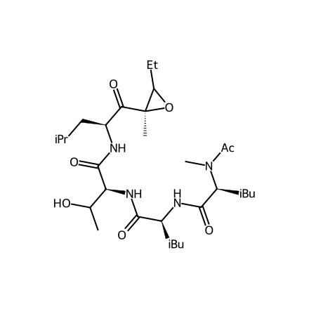 CCC(C)[C@H](NC(=O)[C@H](C(C)CC)N(C)C(C)=O)C(=O)N[C@H](C(=O)N[C@@H](CC(C)C)C(=O)[C@]1(C)OC1CC)C(C)O